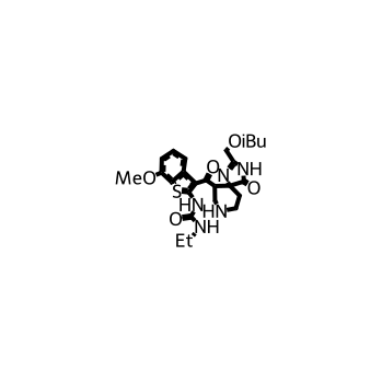 CCNC(=O)Nc1sc2c(OC)cccc2c1C(=O)C1CNCCC12N=C(COCC(C)C)NC2=O